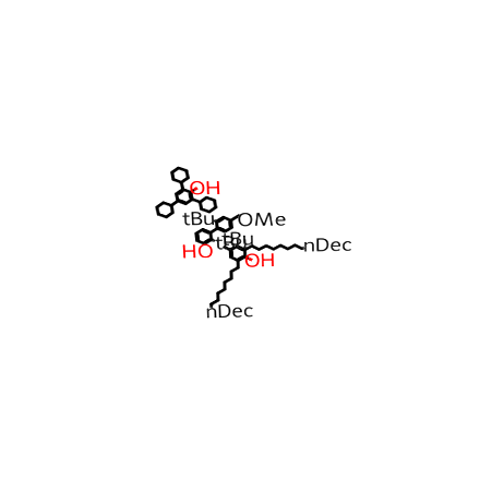 CCCCCCCCCCCCCCCCCCc1cc(C)cc(CCCCCCCCCCCCCCCCCC)c1O.COCc1cc(C(C)(C)C)c(-c2cccc(O)c2C(C)(C)C)c(C(C)(C)C)c1.Oc1c(C2CCCCC2)cc(C2CCCCC2)cc1C1CCCCC1